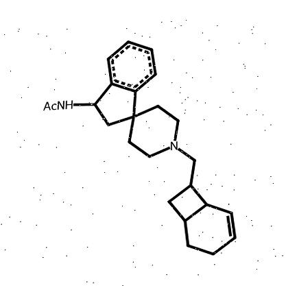 CC(=O)NC1CC2(CCN(CC3CC4CCC=CC43)CC2)c2ccccc21